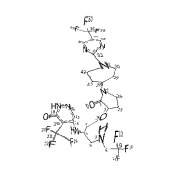 O=C1C(OCC(CNCC(F)(F)F)Nc2cn[nH]c(=O)c2C(F)(F)F)CCN1C1CCN(c2ncc(C(F)(F)F)cn2)CC1